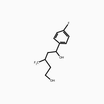 OCCC(CC(O)c1ccc(F)cc1)C(F)(F)F